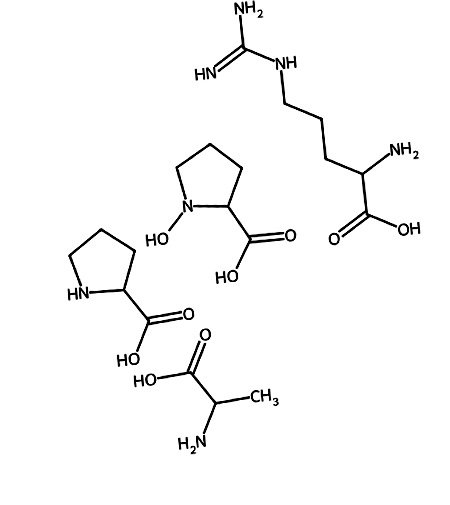 CC(N)C(=O)O.N=C(N)NCCCC(N)C(=O)O.O=C(O)C1CCCN1.O=C(O)C1CCCN1O